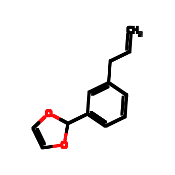 C=CCc1cccc(C2OC=CO2)c1